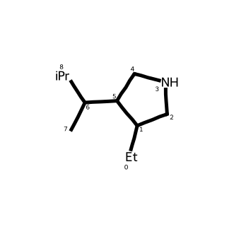 CCC1CNCC1C(C)C(C)C